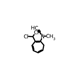 C#CN(C)C1=C(C(C)Cl)C=CC=CC1